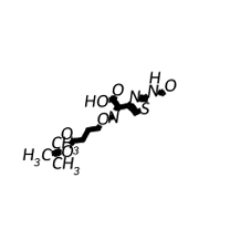 CC(C)(C)OC(=O)CCCON=C(C(=O)O)c1csc(NC=O)n1